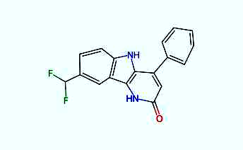 O=c1cc(-c2ccccc2)c2[nH]c3ccc(C(F)F)cc3c2[nH]1